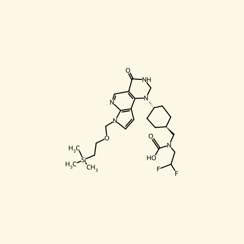 C[Si](C)(C)CCOCn1ccc2c3c(cnc21)C(=O)NCN3[C@H]1CC[C@H](CN(CC(F)F)C(=O)O)CC1